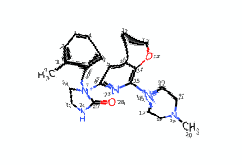 Cc1ccccc1[N+]1(c2cc3ccoc3c(N3CCN(C)CC3)n2)CCNC1=O